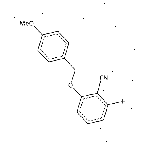 COc1ccc(COc2cccc(F)c2C#N)cc1